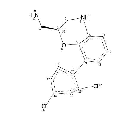 NC[C@H]1CNc2cccc(-c3ccc(Cl)cc3Cl)c2O1